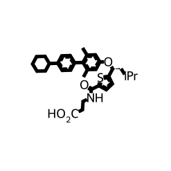 Cc1cc(O[C@H](CC(C)C)c2ccc(C(=O)NCCC(=O)O)s2)cc(C)c1-c1ccc(C2CCCCC2)cc1